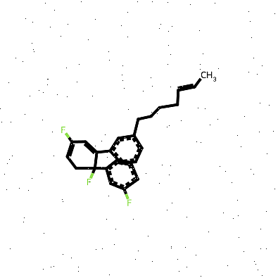 CC=CCCCCc1cccc(C2=CC(F)=CCC2(F)c2cccc(F)c2)c1